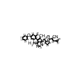 Cc1c(-c2ccc(Oc3ccccc3)cc2F)c2c(N)ncnc2n1CC1CCCN1C(=O)C(C#N)=CC1CC1